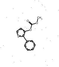 COC(=O)Oc1ccsc1-c1ccccc1